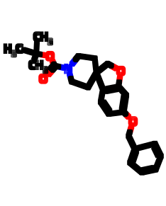 CC(C)(C)OC(=O)N1CCC2(CC1)COc1cc(OCc3ccccc3)ccc12